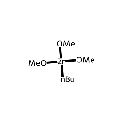 CCC[CH2][Zr]([O]C)([O]C)[O]C